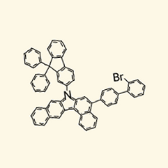 Brc1ccccc1-c1ccc(-c2cc3c(c4ccccc24)c2cc4ccccc4cc2n3-c2ccc3c(c2)C(c2ccccc2)(c2ccccc2)c2ccccc2-3)cc1